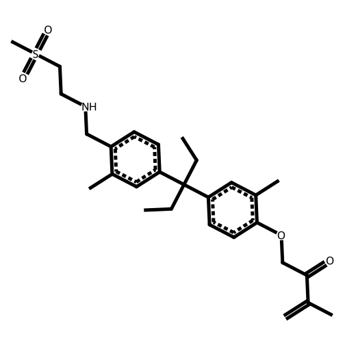 C=C(C)C(=O)COc1ccc(C(CC)(CC)c2ccc(CNCCS(C)(=O)=O)c(C)c2)cc1C